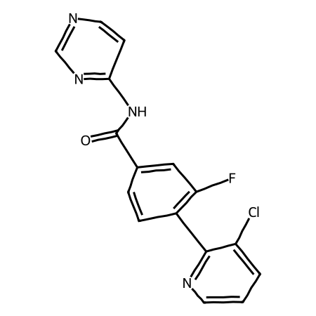 O=C(Nc1ccncn1)c1ccc(-c2ncccc2Cl)c(F)c1